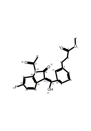 COC(=O)CCc1cccc(/C(O)=C2\C(=O)N(C(C)=O)c3cc(F)ccc32)c1